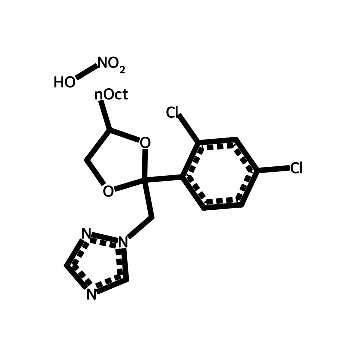 CCCCCCCCC1COC(Cn2cncn2)(c2ccc(Cl)cc2Cl)O1.O=[N+]([O-])O